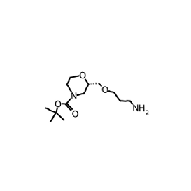 CC(C)(C)OC(=O)N1CCO[C@H](COCCCN)C1